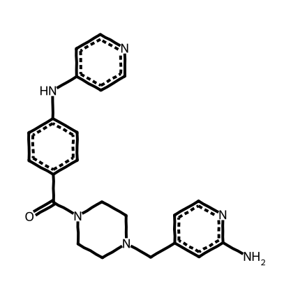 Nc1cc(CN2CCN(C(=O)c3ccc(Nc4ccncc4)cc3)CC2)ccn1